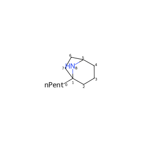 CCCCCC12CCCC(CC1)N2